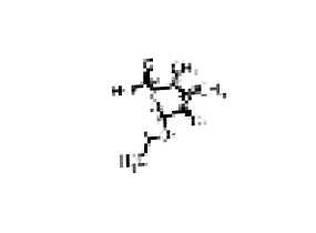 CCOC(=O)C(=O)N(C)C(C)CC(=O)O